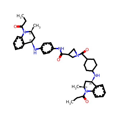 CCC(=O)N1c2ccccc2[C@H](Nc2ccc(NC(=O)C3CN(C(=O)C4CCC(N[C@@H]5C[C@H](C)N(C(=O)CC)c6ccccc65)CC4)C3)cc2)C[C@@H]1C